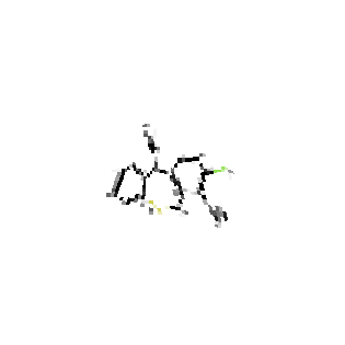 C#C[C@@H]1c2ccccc2SCc2c1ccc(F)c2CCC